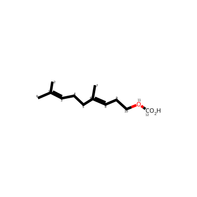 CC(C)=CCC/C(C)=C/CCOC(=O)O